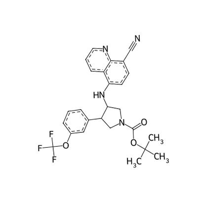 CC(C)(C)OC(=O)N1CC(Nc2ccc(C#N)c3ncccc23)C(c2cccc(OC(F)(F)F)c2)C1